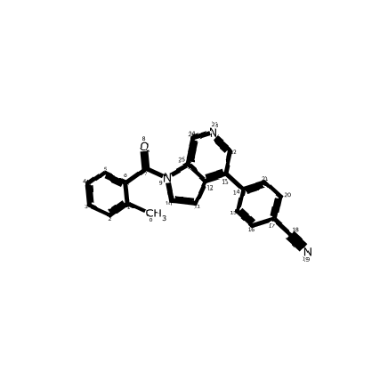 Cc1ccccc1C(=O)n1ccc2c(-c3ccc(C#N)cc3)cncc21